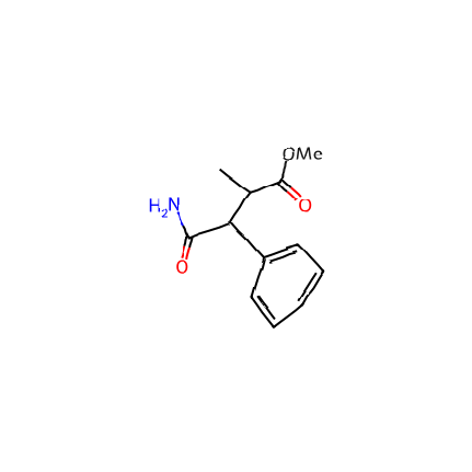 COC(=O)C(C)C(C(N)=O)c1ccccc1